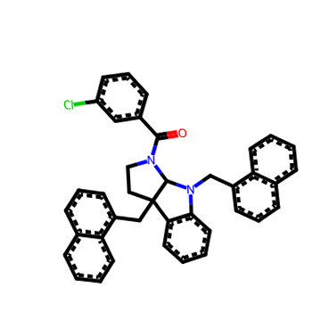 O=C(c1cccc(Cl)c1)N1CCC2(Cc3cccc4ccccc34)c3ccccc3N(Cc3cccc4ccccc34)C12